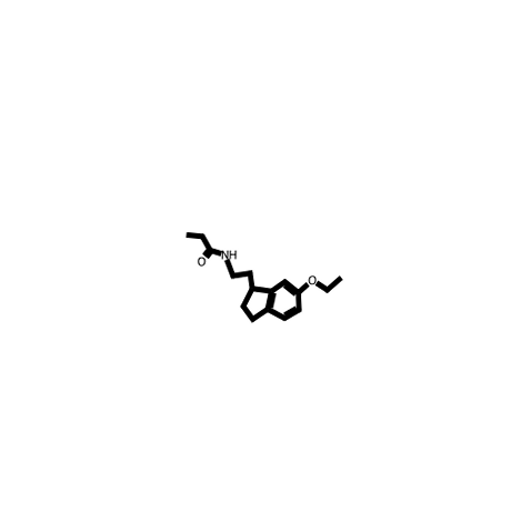 CCOc1ccc2c(c1)C(CCNC(=O)CC)CC2